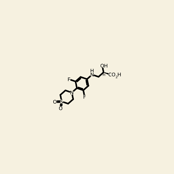 O=C(O)[C@H](O)CNc1cc(F)c(N2CCS(=O)(=O)CC2)c(F)c1